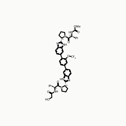 COC(=O)N[C@H](C(=O)N1CCC[C@H]1c1nc2ccc(-c3ccc(-c4ccc5nc([C@@H]6CCCN6C(=O)[C@@H](NC(=O)CO)C(C)C)[nH]c5c4)cc3OC(F)(F)F)cc2[nH]1)C(C)C